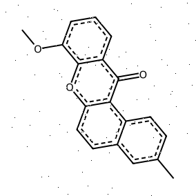 COc1cccc2c(=O)c3c(ccc4cc(C)ccc43)oc12